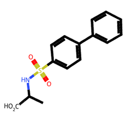 CC(NS(=O)(=O)c1ccc(-c2ccccc2)cc1)C(=O)O